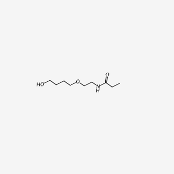 CCC(=O)NCCOCCCCO